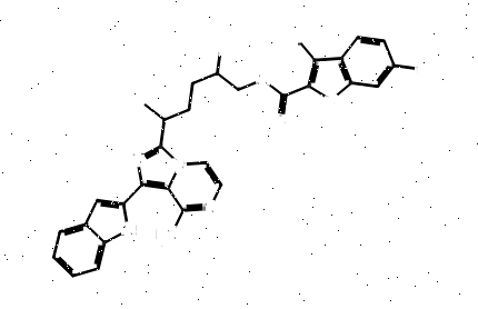 CCC(CCC(C)c1nc(-c2cc3ccccc3[nH]2)c2c(N)nccn12)CNC(=O)c1sc2cc(F)ccc2c1Cl